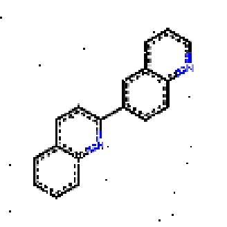 [c]1cc2ccccc2nc1-c1ccc2ncccc2c1